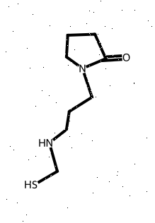 O=C1CCCN1CCCNCS